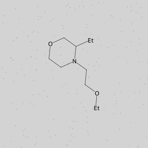 CCOCCN1CCOCC1CC